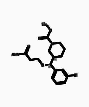 CNC(=O)CCO[C@@H](c1cccc(Cl)c1)[C@@H]1CCCN(C(=O)OC(C)(C)C)C1